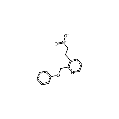 O=[N+]([O-])CCc1cccnc1COc1ccccc1